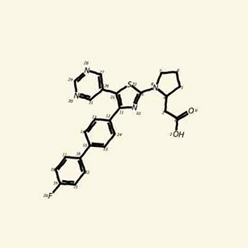 O=C(O)CC1CCCN1c1nc(-c2ccc(-c3ccc(F)cc3)cc2)c(-c2cncnc2)s1